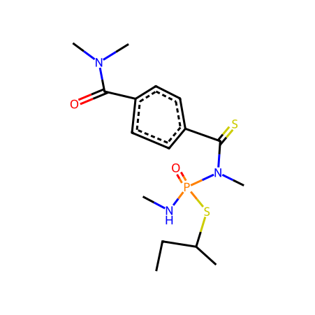 CCC(C)SP(=O)(NC)N(C)C(=S)c1ccc(C(=O)N(C)C)cc1